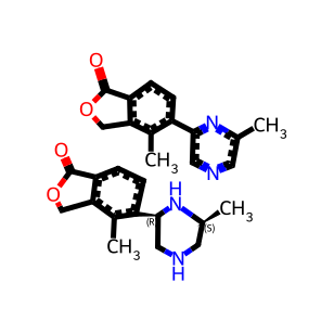 Cc1c([C@@H]2CNC[C@H](C)N2)ccc2c1COC2=O.Cc1cncc(-c2ccc3c(c2C)COC3=O)n1